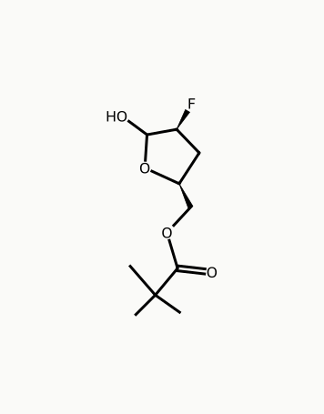 CC(C)(C)C(=O)OC[C@@H]1C[C@H](F)C(O)O1